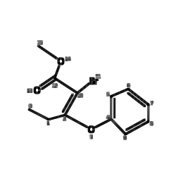 CCC(Oc1ccccc1)=C(Br)C(=O)OC